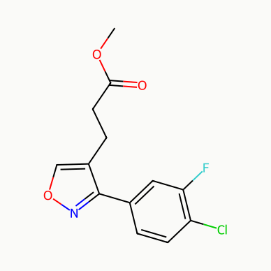 COC(=O)CCc1conc1-c1ccc(Cl)c(F)c1